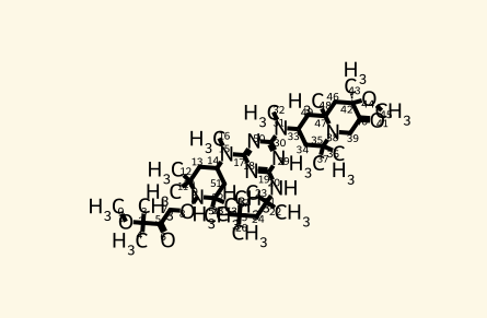 COC(C)(C)C(=O)CON1C(C)(C)CC(N(C)c2nc(NC(C)(C)CC(C)(C)C)nc(N(C)C3CC(C)(C)N4CC(=O)[C@](C)(OC)CC4(C)C3)n2)CC1(C)C